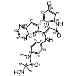 CN(C(=O)C(C)(C)N)c1ccc(N/C(=C2\C(=O)Nc3cc(Cl)ccc32)c2ccc3nccnc3c2)cc1